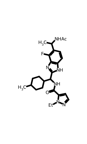 CCn1nccc1C(=O)NC(c1nc2c(F)c(C(C)NC(C)=O)ccc2[nH]1)C1CCC(C)CC1